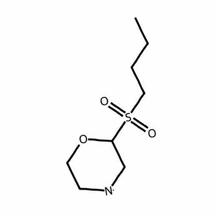 CCCCS(=O)(=O)C1C[N]CCO1